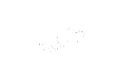 CC(=O)Oc1c(C)c(C/C=C(\C)C(C)CC/C=C/C(C)CCC=C(C)C)c(OC(C)=O)c2ccccc12